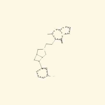 COc1cccc(C2CC3CN(CCc4c(C)nc5sccn5c4=O)CC32)c1